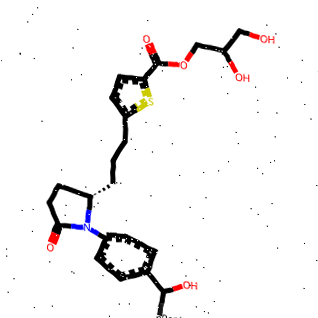 CCCCCC(O)c1ccc(N2C(=O)CC[C@@H]2CCCc2ccc(C(=O)OCC(O)CO)s2)cc1